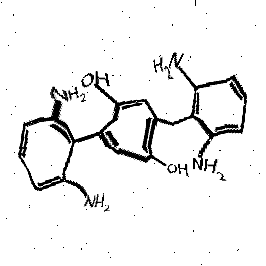 Nc1cccc(N)c1-c1cc(O)c(-c2c(N)cccc2N)cc1O